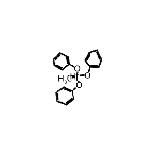 [CH3][Hf]([O]c1ccccc1)([O]c1ccccc1)[O]c1ccccc1